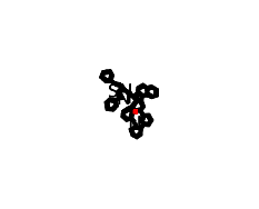 C1=CC2c3cccc(-c4ccc5c(c4)c4c6ccccc6ccc4n5-c4nc(-c5ccccc5)c5sc(-c6ccccc6)cc5n4)c3N(c3ccccc3)C2C=C1